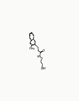 CCCCCCCCCCCCONC(=O)CCc1cc2ccccc2cc1O